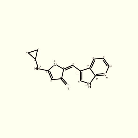 O=C1C=C(NC2CC2)O/C1=C/c1c[nH]c2ncccc12